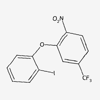 O=[N+]([O-])c1ccc(C(F)(F)F)cc1Oc1ccccc1I